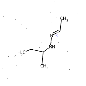 C/C=N/NC(C)CC